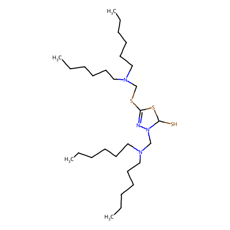 CCCCCCN(CCCCCC)CSC1=NN(CN(CCCCCC)CCCCCC)C(S)S1